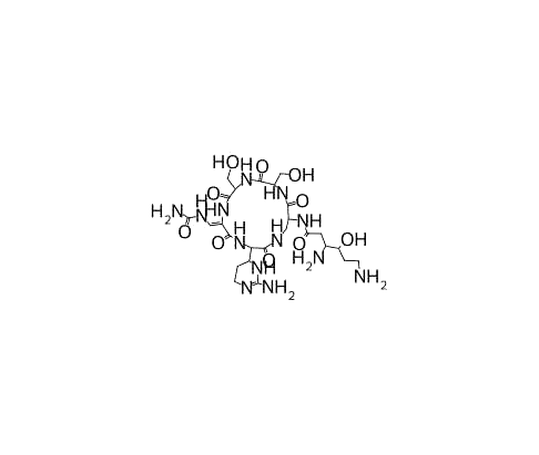 NCCC(O)C(N)CC(=O)NC1CNC(=O)C(C2CCN=C(N)N2)NC(=O)C(=CNC(N)=O)NC(=O)C(CO)NC(=O)C(CO)NC1=O